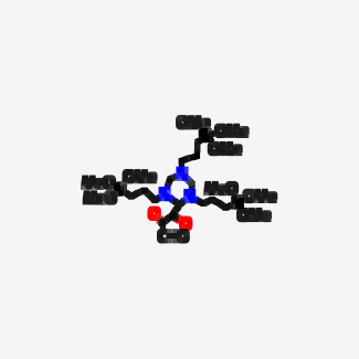 CO[Si](CCCN1CN(CCC[Si](OC)(OC)OC)C(C(=O)C(=O)C=O)N(CCC[Si](OC)(OC)OC)C1)(OC)OC